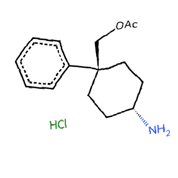 CC(=O)OC[C@]1(c2ccccc2)CC[C@@H](N)CC1.Cl